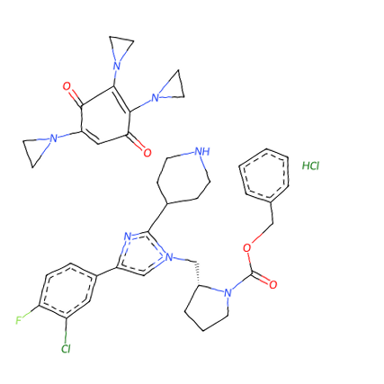 Cl.O=C(OCc1ccccc1)N1CCC[C@@H]1Cn1cc(-c2ccc(F)c(Cl)c2)nc1C1CCNCC1.O=C1C=C(N2CC2)C(=O)C(N2CC2)=C1N1CC1